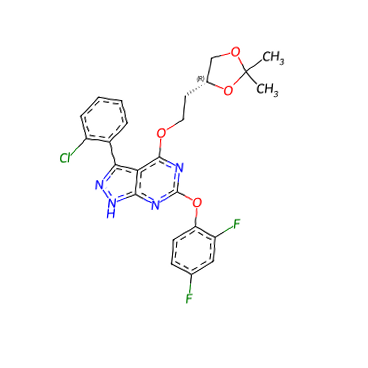 CC1(C)OC[C@@H](CCOc2nc(Oc3ccc(F)cc3F)nc3[nH]nc(-c4ccccc4Cl)c23)O1